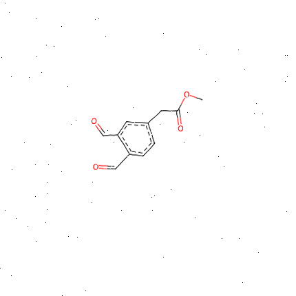 COC(=O)Cc1ccc(C=O)c(C=O)c1